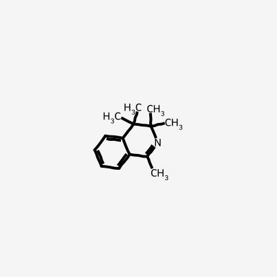 CC1=NC(C)(C)C(C)(C)c2ccccc21